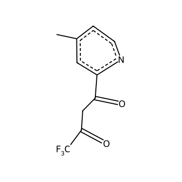 Cc1ccnc(C(=O)CC(=O)C(F)(F)F)c1